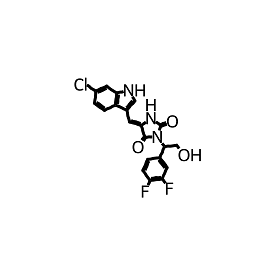 O=C1N/C(=C\c2c[nH]c3cc(Cl)ccc23)C(=O)N1C(CO)c1ccc(F)c(F)c1